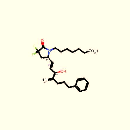 C=C(CCCc1ccccc1)[C@H](O)/C=C/[C@H]1CC(F)(F)C(=O)N1CCCCCCC(=O)O